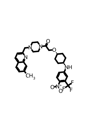 Cc1ccc2ccc(CN3CCN(C(=O)CO[C@H]4CC[C@H](Nc5ccc([N+](=O)[O-])c(C(F)(F)F)c5)CC4)CC3)nc2c1